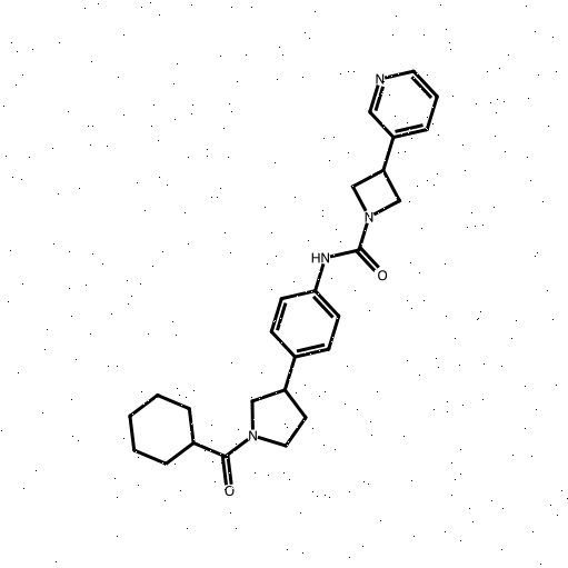 O=C(Nc1ccc(C2CCN(C(=O)C3CCCCC3)C2)cc1)N1CC(c2cccnc2)C1